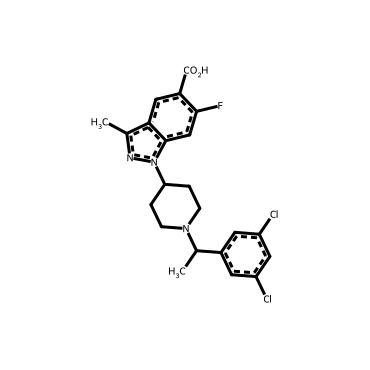 Cc1nn(C2CCN(C(C)c3cc(Cl)cc(Cl)c3)CC2)c2cc(F)c(C(=O)O)cc12